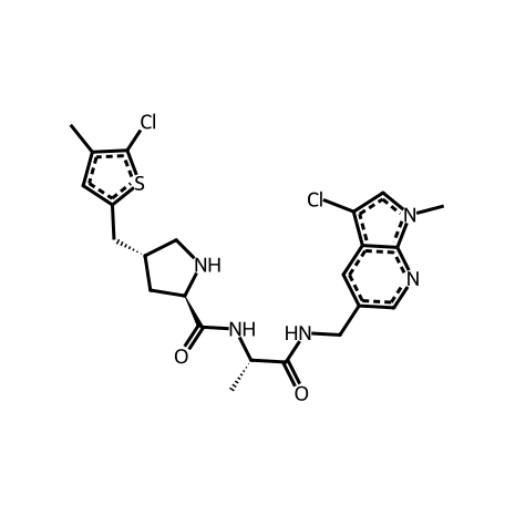 Cc1cc(C[C@@H]2CN[C@@H](C(=O)N[C@@H](C)C(=O)NCc3cnc4c(c3)c(Cl)cn4C)C2)sc1Cl